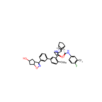 COc1ccc(-c2cccc(C3=NOC4CC(O)CC34)c2)cc1C(=O)N[C@@H]1C2CCC(/C2=C/C2CC2)[C@@H]1C(=O)Nc1ccc(F)c(C(F)(F)F)c1